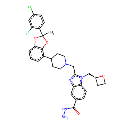 CC1(c2ccc(Cl)cc2F)Oc2cccc(C3CCN(Cc4nc5cc(C(=O)NN)ccc5n4C[C@@H]4CCO4)CC3)c2O1